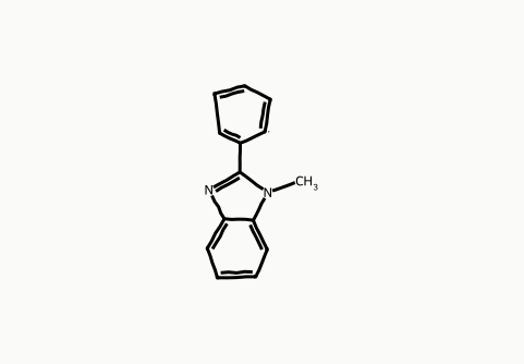 Cn1c(-c2[c]cccc2)nc2ccccc21